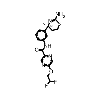 C[C@@]1(c2cccc(NC(=O)c3cnc(OCC(F)F)cn3)c2)CCSC(N)=N1